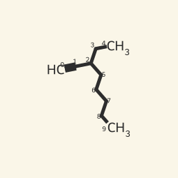 C#CC(CC)CCCCC